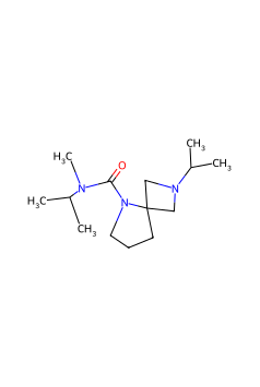 CC(C)N1CC2(CCCN2C(=O)N(C)C(C)C)C1